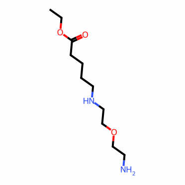 CCOC(=O)CCCCNCCOCCN